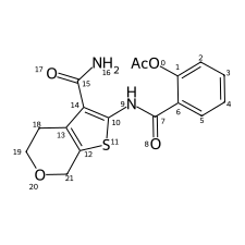 CC(=O)Oc1ccccc1C(=O)Nc1sc2c(c1C(N)=O)CCOC2